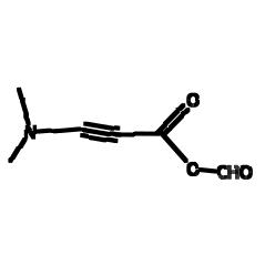 CN(C)C#CC(=O)OC=O